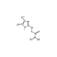 CCN(CC)C(=O)COc1nc(Cl)c(Cl)s1